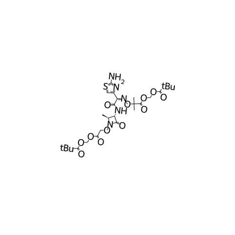 C[C@H]1[C@H](NC(=O)/C(=N\OC(C)(C)C(=O)OCOC(=O)C(C)(C)C)c2csc(N)n2)C(=O)N1OCC(=O)OCOC(=O)C(C)(C)C